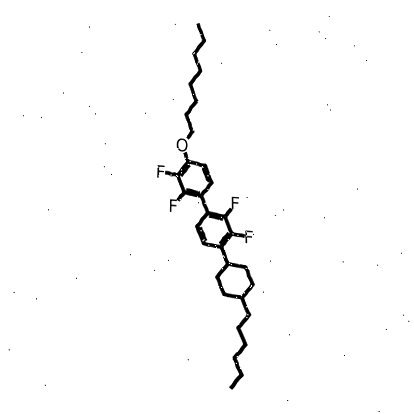 CCCCCCCCOc1ccc(-c2ccc(C3CCC(CCCCCC)CC3)c(F)c2F)c(F)c1F